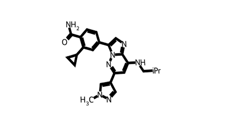 CC(C)CNc1cc(-c2cnn(C)c2)nn2c(-c3ccc(C(N)=O)c(C4CC4)c3)cnc12